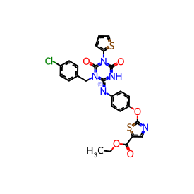 CCOC(=O)c1cnc(Oc2ccc(/N=c3\[nH]c(=O)n(-c4cccs4)c(=O)n3Cc3ccc(Cl)cc3)cc2)s1